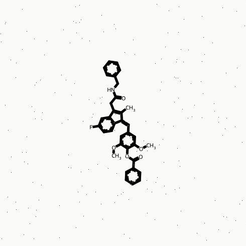 COc1cc(/C=C2/C(C)=C(CC(=O)NCc3ccccc3)c3cc(F)ccc32)cc(OC)c1OC(=O)c1ccccc1